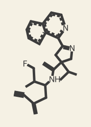 C#CC(=C)CC(NC(=C)C1(C(C)C)CN=C(c2nccc3ccccc23)C1)C(C)CF